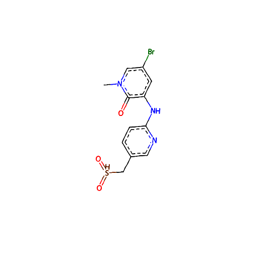 Cn1cc(Br)cc(Nc2ccc(C[SH](=O)=O)cn2)c1=O